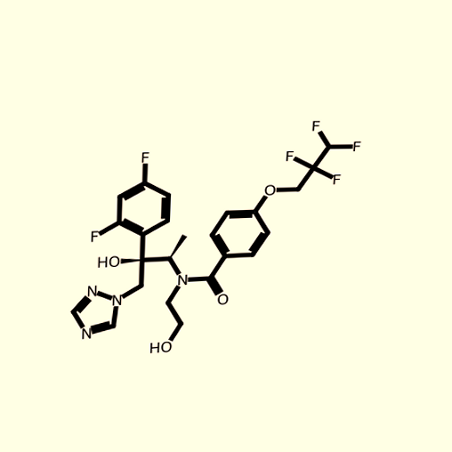 C[C@@H](N(CCO)C(=O)c1ccc(OCC(F)(F)C(F)F)cc1)[C@](O)(Cn1cncn1)c1ccc(F)cc1F